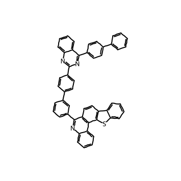 c1ccc(-c2ccc(-c3nc(-c4ccc(-c5cccc(-c6nc7ccccc7c7c6ccc6c8ccccc8sc67)c5)cc4)nc4ccccc34)cc2)cc1